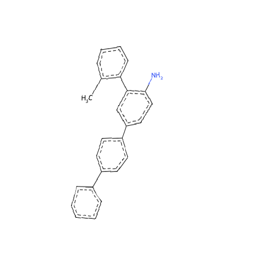 Cc1ccccc1-c1cc(-c2ccc(-c3ccccc3)cc2)ccc1N